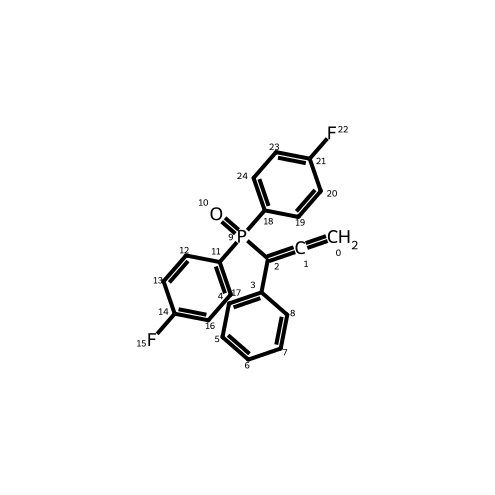 C=C=C(c1ccccc1)P(=O)(c1ccc(F)cc1)c1ccc(F)cc1